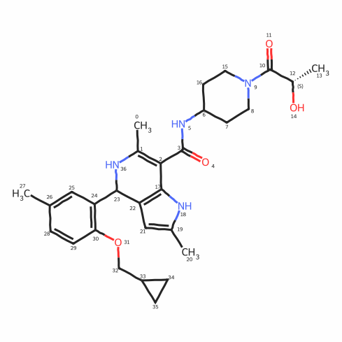 CC1=C(C(=O)NC2CCN(C(=O)[C@H](C)O)CC2)c2[nH]c(C)cc2C(c2cc(C)ccc2OCC2CC2)N1